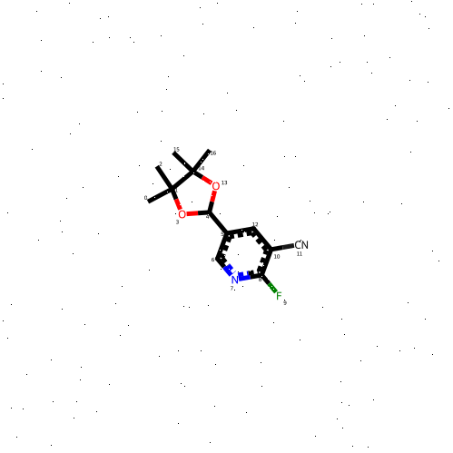 CC1(C)OC(c2cnc(F)c(C#N)c2)OC1(C)C